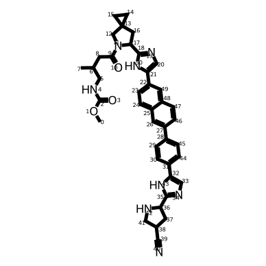 COC(=O)NCC(C)CC(=O)N1CC2(CC2)CC1c1ncc(-c2ccc3cc(-c4ccc(-c5cnc(C6CC(C#N)CN6)[nH]5)cc4)ccc3c2)[nH]1